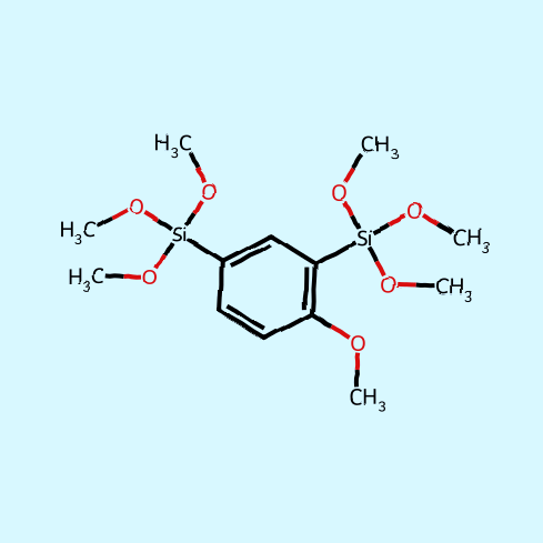 COc1ccc([Si](OC)(OC)OC)cc1[Si](OC)(OC)OC